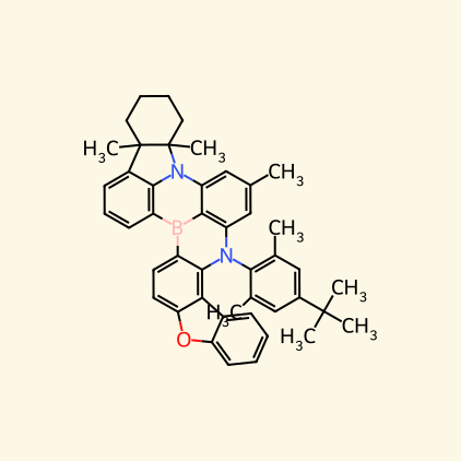 Cc1cc2c3c(c1)N1c4c(cccc4C4(C)CCCCC14C)B3c1ccc3oc4ccccc4c3c1N2c1c(C)cc(C(C)(C)C)cc1C